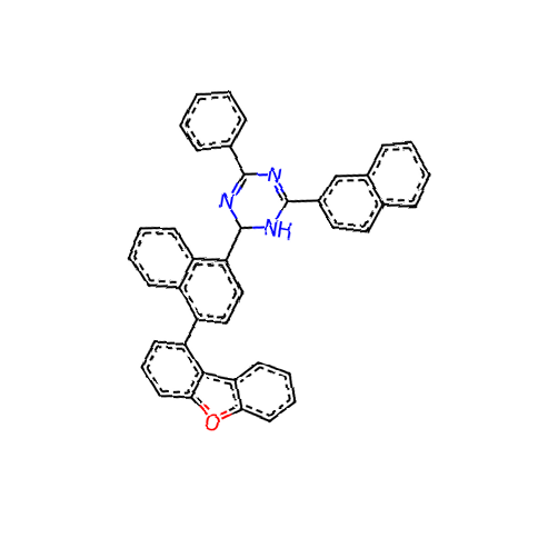 c1ccc(C2=NC(c3ccc(-c4cccc5oc6ccccc6c45)c4ccccc34)NC(c3ccc4ccccc4c3)=N2)cc1